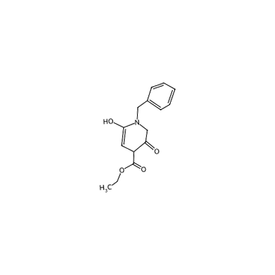 CCOC(=O)C1C=C(O)N(Cc2ccccc2)CC1=O